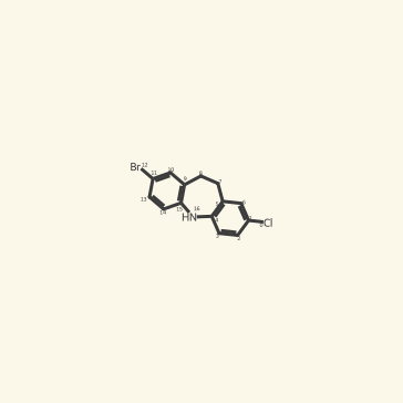 Clc1ccc2c(c1)CCc1cc(Br)ccc1N2